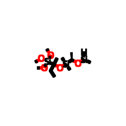 CCC(C)(O[Si](C)(C)[C@@H](C)O[SiH](C)C)[Si](OC)(OC)OC